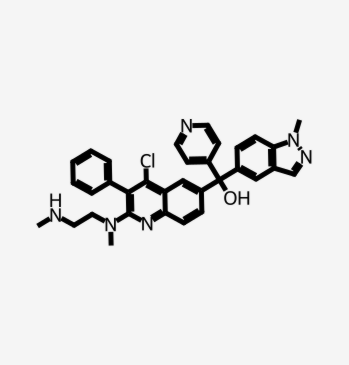 CNCCN(C)c1nc2ccc(C(O)(c3ccncc3)c3ccc4c(cnn4C)c3)cc2c(Cl)c1-c1ccccc1